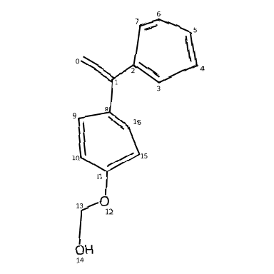 C=C(c1ccccc1)c1ccc(OCO)cc1